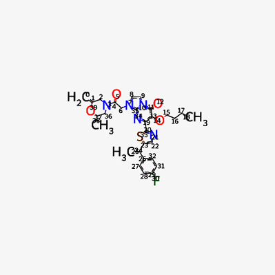 C=C1CN(C(=O)Cn2ccn3c(=O)c(OCCCC)c(-c4ncc(C(C)c5ccc(F)cc5)s4)nc23)C[C@H](C)O1